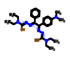 CCN(CC)/C(S)=N/N=C(/C(=N/N=C(\S)N(CC)CC)c1ccc(N(C)C)cc1)c1ccccc1